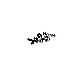 C=C/C=C(\C=C)c1c[nH]c([C@@H]2CCCN2C(=O)[C@@H](NC(=O)OC)C(C)C)n1